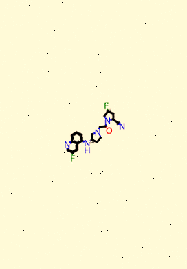 N#CC1C[C@H](F)CN1C(=O)CN1CC[C@H](Nc2cccc3ncc(F)cc23)C1